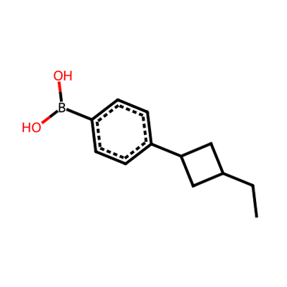 CCC1CC(c2ccc(B(O)O)cc2)C1